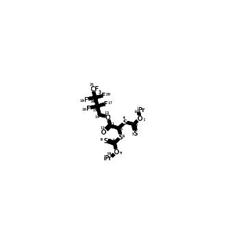 CC(C)OC(=S)SC(SC(=S)OC(C)C)C(=O)OCC(F)(F)C(F)(F)C(F)(F)F